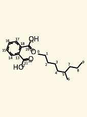 CCCCCC(C)CCC.O=C(O)c1ccccc1C(=O)O